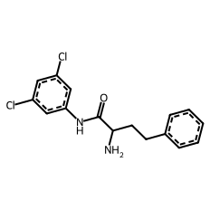 NC(CCc1ccccc1)C(=O)Nc1cc(Cl)cc(Cl)c1